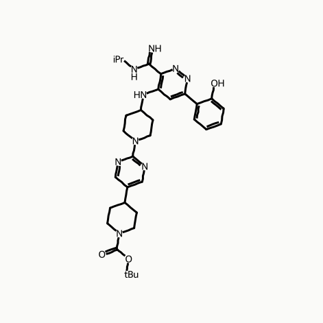 CC(C)NC(=N)c1nnc(-c2ccccc2O)cc1NC1CCN(c2ncc(C3CCN(C(=O)OC(C)(C)C)CC3)cn2)CC1